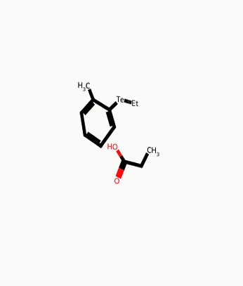 CCC(=O)O.CC[Te]c1ccccc1C